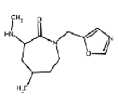 CNC1CC(C)CCN(Cc2cnco2)C1=O